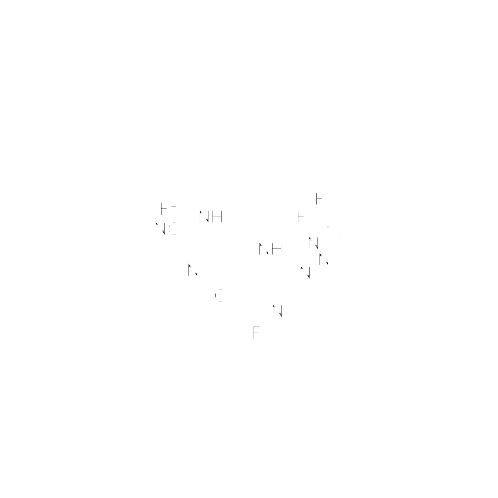 CCC(Nc1c(C#N)cnc2c(Cl)cc(NC(c3cn(C4(C(F)F)CC4)nn3)c3ccc(F)nc3C)cc12)c1ccccc1